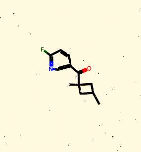 CC1CC(C)(C(=O)c2ccc(F)nc2)C1